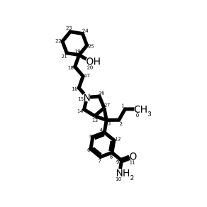 CCCC1(c2cccc(C(N)=O)c2)C2CN(CCCC3(O)CCCCC3)CC21